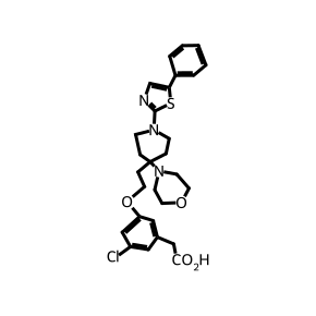 O=C(O)Cc1cc(Cl)cc(OCCC2(N3CCOCC3)CCN(c3ncc(-c4ccccc4)s3)CC2)c1